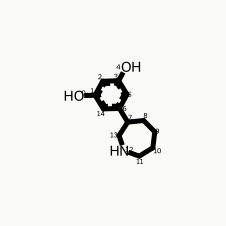 Oc1cc(O)cc(C2CCCCNC2)c1